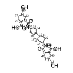 C#Cc1ccc(C(=O)Nc2ccc3c(c2)Cc2cc(NC(=O)c4cc(C#C)ccc4C(=O)O)ccc2-3)c(C(=O)O)c1